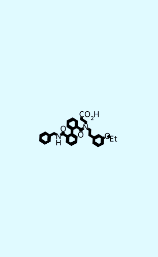 CCOc1cccc(CCN(CCC(=O)O)C(=O)c2ccccc2-c2ccccc2C(=O)NCc2ccccc2)c1